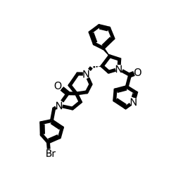 O=C(c1cccnc1)N1C[C@H](CN2CCC3(CC2)CCN(Cc2ccc(Br)cc2)C3=O)[C@@H](c2ccccc2)C1